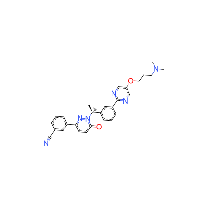 C[C@@H](c1cccc(-c2ncc(OCCCN(C)C)cn2)c1)n1nc(-c2cccc(C#N)c2)ccc1=O